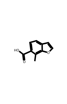 Cc1c(C(=O)O)ccc2ccoc12